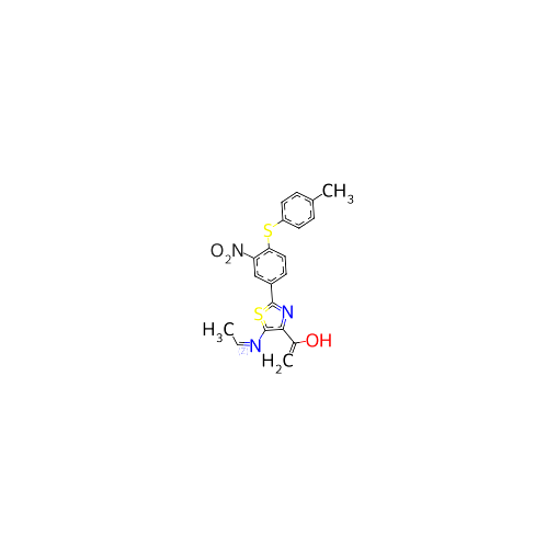 C=C(O)c1nc(-c2ccc(Sc3ccc(C)cc3)c([N+](=O)[O-])c2)sc1/N=C\C